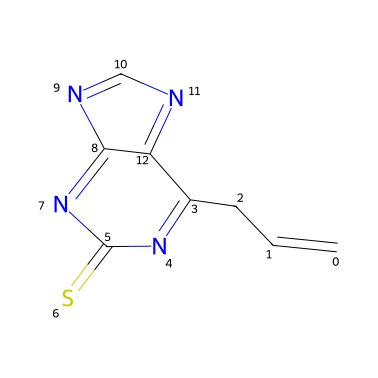 C=CCC1=NC(=S)N=C2N=CN=C12